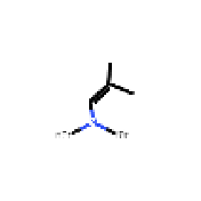 CCCN(C=C(C)C)C(C)C